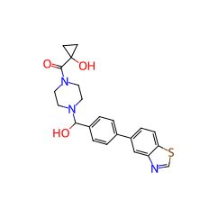 O=C(N1CCN(C(O)c2ccc(-c3ccc4scnc4c3)cc2)CC1)C1(O)CC1